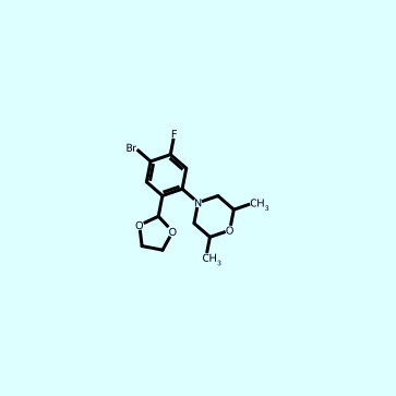 CC1CN(c2cc(F)c(Br)cc2C2OCCO2)CC(C)O1